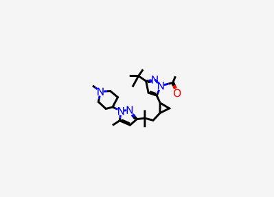 CC(=O)n1nc(C(C)(C)C)cc1C1CC1CC(C)(C)c1cc(C)n(C2CCN(C)CC2)n1